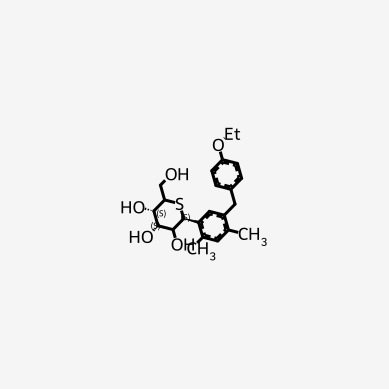 CCOc1ccc(Cc2cc([C@@H]3SC(CO)[C@@H](O)[C@@H](O)C3O)c(C)cc2C)cc1